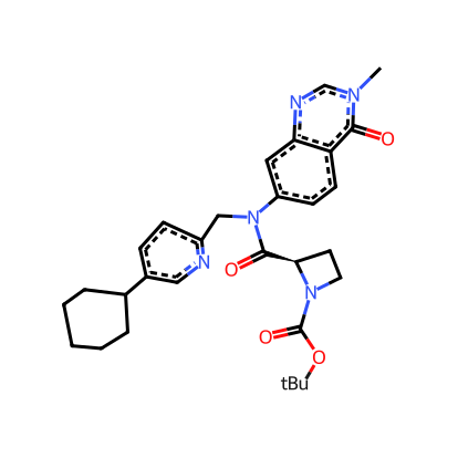 Cn1cnc2cc(N(Cc3ccc(C4CCCCC4)cn3)C(=O)[C@H]3CCN3C(=O)OC(C)(C)C)ccc2c1=O